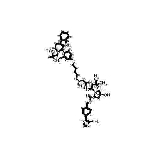 Cc1ncsc1-c1ccc(CNC(=O)[C@@H]2C[C@@H](O)CN2C(=O)[C@@H](NC(=O)CN(C)CCCCCOc2cc(F)c([C@@H]3c4[nH]c5ccccc5c4C[C@@H](C)N3CC(C)(C)F)c(F)c2)C(C)(C)C)cc1